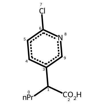 CCCC(C(=O)O)c1ccc(Cl)nc1